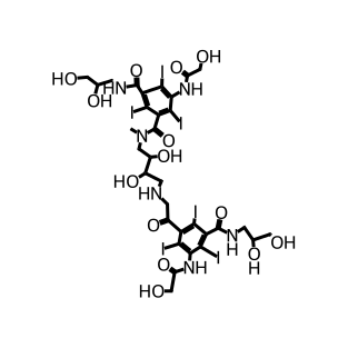 CN(CC(O)C(O)CNCC(=O)c1c(I)c(NC(=O)CO)c(I)c(C(=O)NCC(O)CO)c1I)C(=O)c1c(I)c(NC(=O)CO)c(I)c(C(=O)NCC(O)CO)c1I